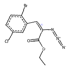 CCOC(=O)/C(=C\c1cc(Cl)ccc1Br)N=[N+]=[N-]